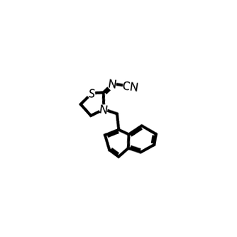 N#C/N=C1/SCCN1Cc1cccc2ccccc12